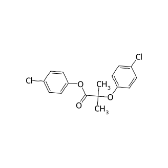 CC(C)(Oc1ccc(Cl)cc1)C(=O)Oc1ccc(Cl)cc1